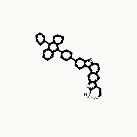 C/C=C\c1c(C)oc2cc3c(ccc4sc5cc(-c6ccc(-c7c8ccccc8c(-c8ccccc8)c8ccccc78)cc6)ccc5c43)cc12